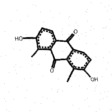 Cc1c(O)ccc2c1C(=O)c1c(ccc(O)c1C)C2=O